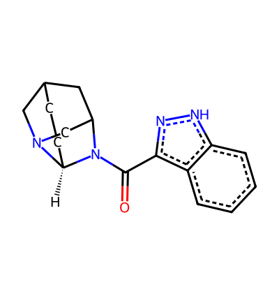 O=C(c1n[nH]c2ccccc12)N1C2CC3CC[C@@H]1N(C3)C2